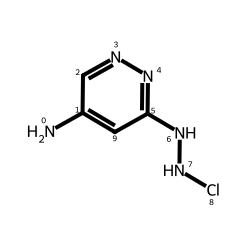 Nc1cnnc(NNCl)c1